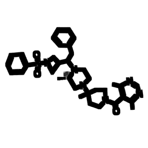 Cc1ncnc(C)c1C(=O)N1CCC(C)(N2CCN(C(Cc3ccccc3)C3CN(S(=O)(=O)c4ccccc4)C3)[C@@H](C)C2)CC1